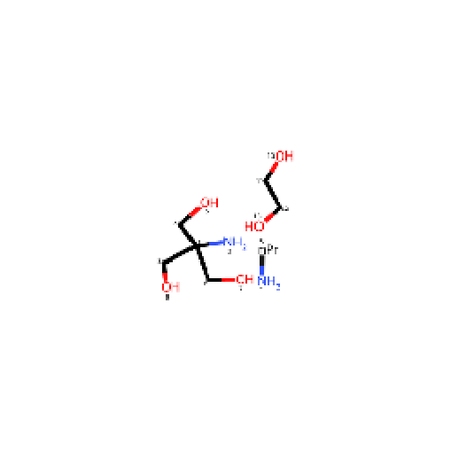 CCCN.NC(CO)(CO)CO.OCCO